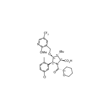 COc1ncc(C(F)(F)F)cc1CO[C@H]1[C@H](C(C)(C)C)[C@@H](C(=O)O)N(C(=O)[C@@H]2CCCCO2)[C@H]1c1cc(Cl)ccc1C